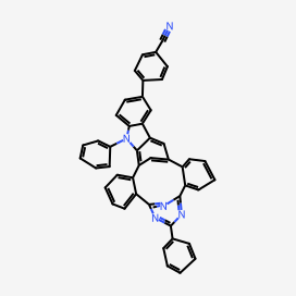 N#Cc1ccc(-c2ccc3c(c2)c2cc4cc(c5ccccc5c5nc(-c6ccccc6)nc(n5)c5ccccc45)c2n3-c2ccccc2)cc1